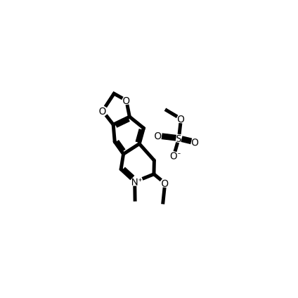 COC1Cc2cc3c(cc2C=[N+]1C)OCO3.COS(=O)(=O)[O-]